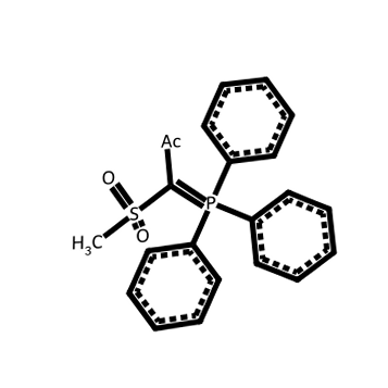 CC(=O)C(=P(c1ccccc1)(c1ccccc1)c1ccccc1)S(C)(=O)=O